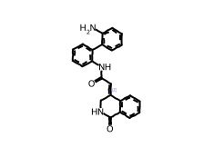 Nc1ccccc1-c1ccccc1NC(=O)/C=C1\CNC(=O)c2ccccc21